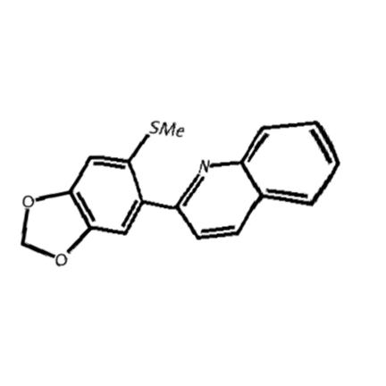 CSc1cc2c(cc1-c1ccc3ccccc3n1)OCO2